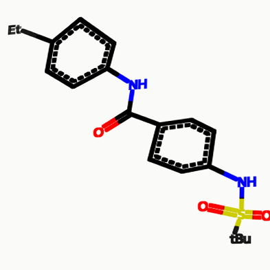 CCc1ccc(NC(=O)c2ccc(NS(=O)(=O)C(C)(C)C)cc2)cc1